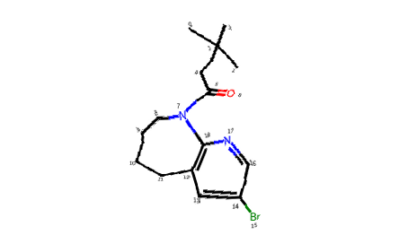 CC(C)(C)CC(=O)N1CCCCc2cc(Br)cnc21